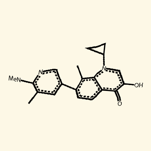 CNc1ncc(-c2ccc3c(=O)c(O)cn(C4CC4)c3c2C)cc1C